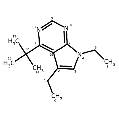 CCc1cn(CC)c2ncnc(C(C)(C)C)c12